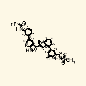 CCCC(=O)Nc1cccc(-c2cnc3[nH]nc(-c4cc5c(-c6cc(F)cc(CNS(C)(=O)=O)c6)cccc5[nH]4)c3c2)c1